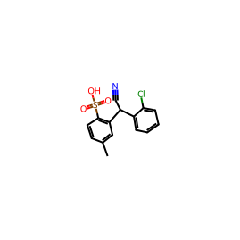 Cc1ccc(S(=O)(=O)O)c(C(C#N)c2ccccc2Cl)c1